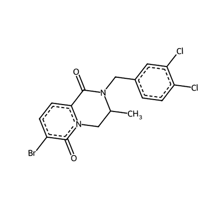 CC1Cn2c(ccc(Br)c2=O)C(=O)N1Cc1ccc(Cl)c(Cl)c1